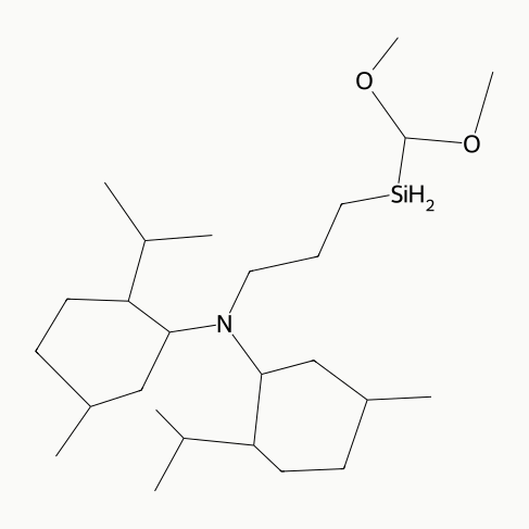 COC(OC)[SiH2]CCCN(C1CC(C)CCC1C(C)C)C1CC(C)CCC1C(C)C